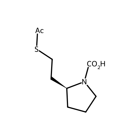 CC(=O)SCC[C@@H]1CCCN1C(=O)O